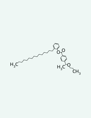 CCCCCCCCCCCCCCCc1ccccc1OC(=O)c1ccc(C(C)OCCC)cc1